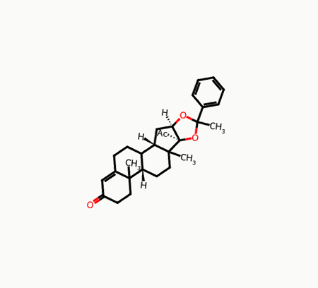 CC(=O)[C@@]12OC(C)(c3ccccc3)O[C@@H]1C[C@H]1C3CCC4=CC(=O)CCC4(C)[C@H]3CCC12C